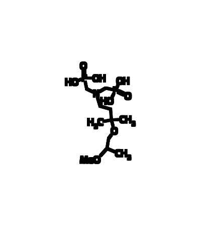 COC(C)COC(C)(C)CCN(CP(=O)(O)O)CP(=O)(O)O